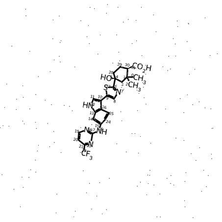 CC1(C)C[C@](O)(c2ncc(-c3c[nH]c4cc(Nc5nccc(C(F)(F)F)n5)ccc34)s2)CC[C@H]1C(=O)O